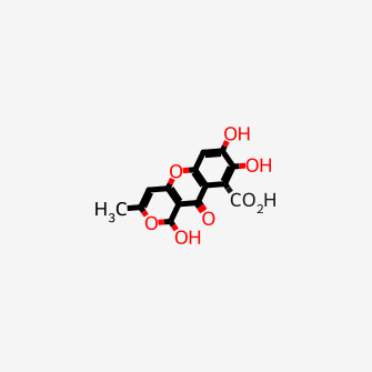 CC1=Cc2oc3cc(O)c(O)c(C(=O)O)c3c(=O)c2C(O)O1